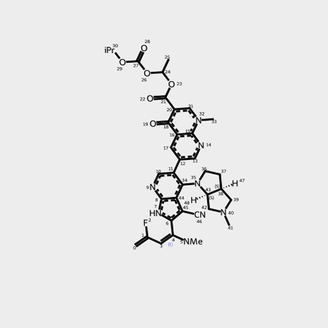 C=C(F)/C=C(/NC)c1[nH]c2ncc(-c3cnc4c(c3)c(=O)c(C(=O)OC(C)OC(=O)OC(C)C)cn4C)c(N3CC[C@H]4CN(C)C[C@H]43)c2c1C#N